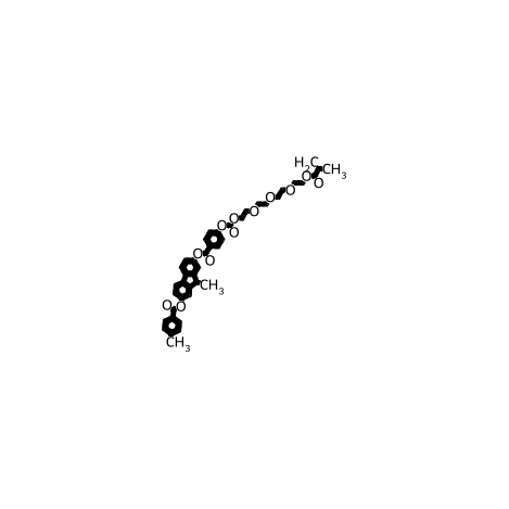 C=C(C)C(=O)OCCOCCOCCOCCOC(=O)Oc1ccc(C(=O)Oc2ccc3c(c2)C(C)c2cc(OC(=O)c4ccc(C)cc4)ccc2-3)cc1